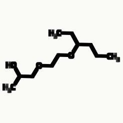 CCCC(CC)OCCOCC(C)O